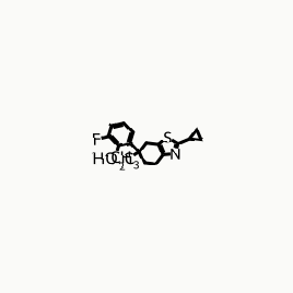 Cc1c(F)cccc1C1(C(=O)O)CCc2nc(C3CC3)sc2C1